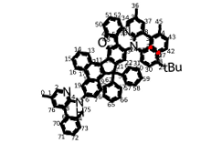 Cc1cnc(Nc2ccc3c4c(c5ccccc5c3c2)-c2c(cc(N(c3ccc(C(C)(C)C)cc3)c3ncc(C)cc3-c3ccccc3C)c3c2oc2ccccc23)C4(c2ccccc2)c2ccccc2)c(-c2ccccc2C)c1